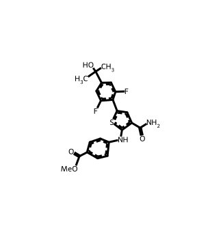 COC(=O)c1ccc(Nc2sc(-c3c(F)cc(C(C)(C)O)cc3F)cc2C(N)=O)cc1